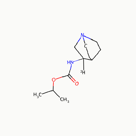 [2H]C1(NC(=O)OC(C)C)CN2CCC1CC2